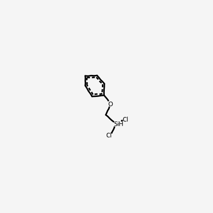 Cl[SiH](Cl)COc1ccccc1